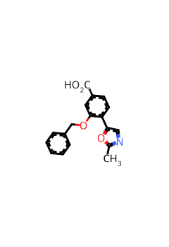 Cc1ncc(-c2ccc(C(=O)O)cc2OCc2ccccc2)o1